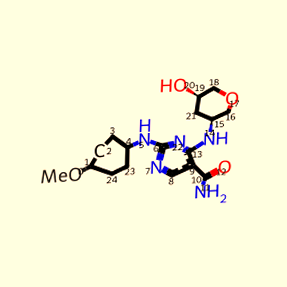 COC1CCC(Nc2ncc(C(N)=O)c(N[C@@H]3COC[C@H](O)C3)n2)CC1